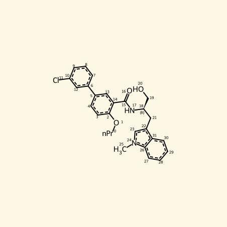 CCCOc1ccc(-c2cccc(Cl)c2)cc1C(=O)N[C@@H](CO)Cc1cn(C)c2ccccc12